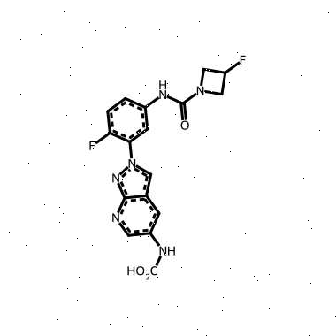 O=C(O)Nc1cnc2nn(-c3cc(NC(=O)N4CC(F)C4)ccc3F)cc2c1